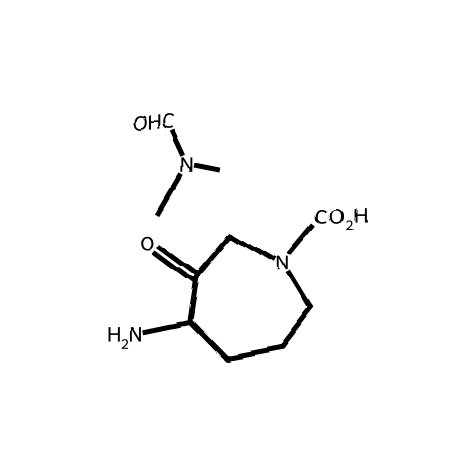 CN(C)C=O.NC1CCCN(C(=O)O)CC1=O